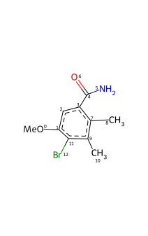 COc1cc(C(N)=O)c(C)c(C)c1Br